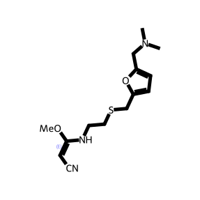 CO/C(=C/C#N)NCCSCc1ccc(CN(C)C)o1